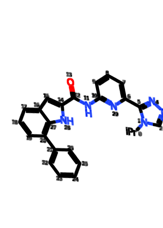 CC(C)n1cnnc1-c1cccc(NC(=O)c2cc3cccc(-c4ccccc4)c3[nH]2)n1